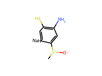 C[S+]([O-])c1ccc(S)c(N)c1.[NaH]